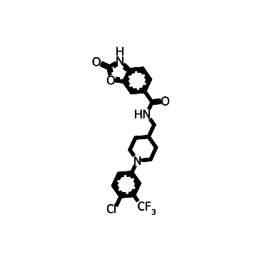 O=C(NCC1CCN(c2ccc(Cl)c(C(F)(F)F)c2)CC1)c1ccc2[nH]c(=O)oc2c1